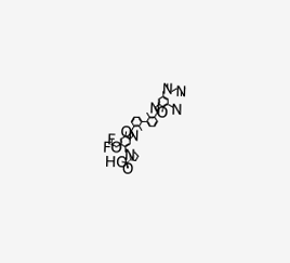 Cc1c(-c2nc3cc(CN4CCC[C@H]4C(=O)O)c(OC(F)F)cc3o2)cccc1-c1cccc(-c2nc3cc(CN(C)CCN(C)C)cc(C#N)c3o2)c1C